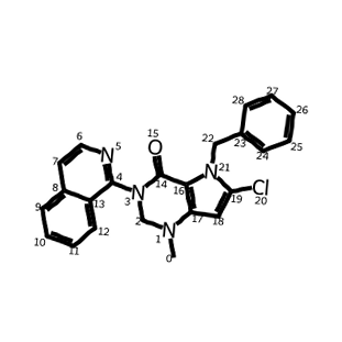 CN1CN(c2nccc3ccccc23)C(=O)c2c1cc(Cl)n2Cc1ccccc1